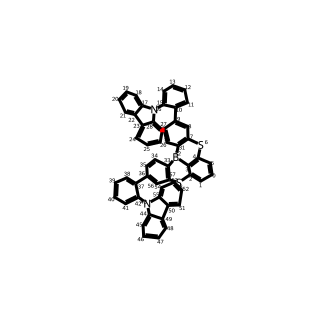 c1cc2c3c(c1)Sc1cc(-c4ccccc4-n4c5ccccc5c5ccccc54)ccc1B3c1ccc(-c3ccccc3-n3c4ccccc4c4ccccc43)cc1S2